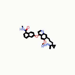 C=C(N=[N+]=[N-])C1(CCCc2cc3nccc(Oc4ccc5c(C(=O)NC)cccc5c4)c3cc2OC)CC1